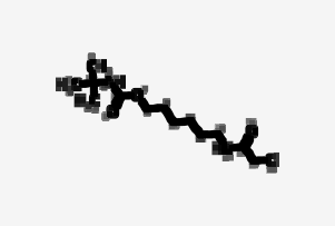 CC(C)(C)NC(=O)OCCCCCCNC(=O)CCl